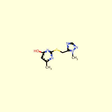 Cc1cc(O)nc(SCc2ncnn2C)n1